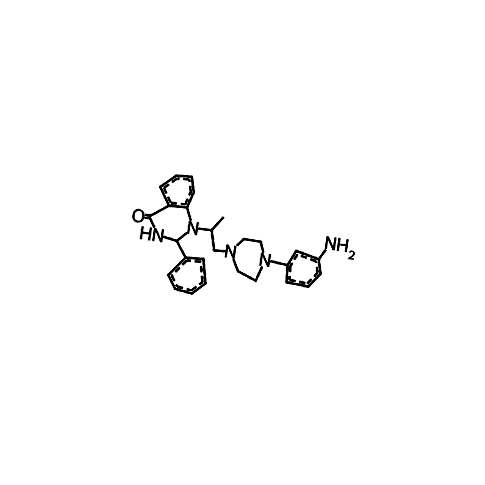 CC(CN1CCN(c2cccc(N)c2)CC1)N1c2ccccc2C(=O)NC1c1ccccc1